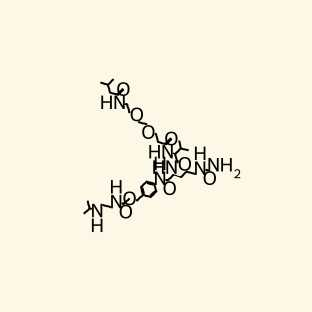 CC(C)CC(=O)NCCOCCOCCC(=O)N[C@H](C(=O)N[C@@H](CCCNC(N)=O)C(=O)Nc1ccc(COC(=O)NCCNC(C)C)cc1)C(C)C